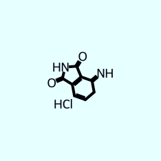 Cl.N=C1CC=CC2=C1C(=O)NC2=O